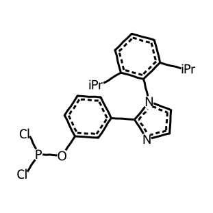 CC(C)c1cccc(C(C)C)c1-n1ccnc1-c1cccc(OP(Cl)Cl)c1